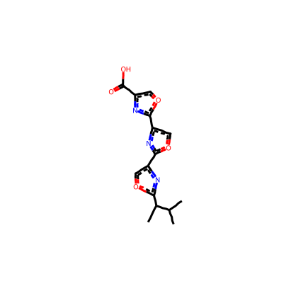 CC(C)C(C)c1nc(-c2nc(-c3nc(C(=O)O)co3)co2)co1